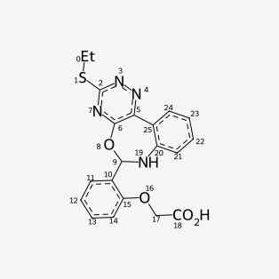 CCSc1nnc2c(n1)OC(c1ccccc1OCC(=O)O)Nc1ccccc1-2